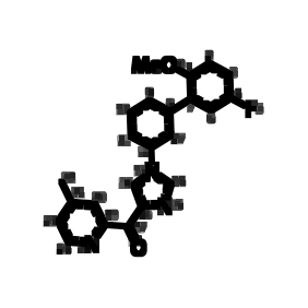 COc1ccc(F)cc1-c1cccc(-n2cnc(C(=O)c3cc(C)ccn3)c2)c1